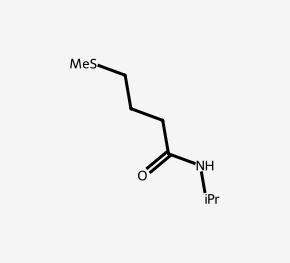 CSCCCC(=O)NC(C)C